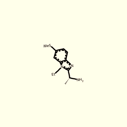 CCn1c([C@@H](C)N)nc2ccc(SC)cc21